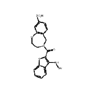 CCCNc1c(C(=O)N2CCOc3cc(C(=O)O)ccc3C2)sc2ccccc12